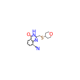 N#Cc1cccc2c(=O)[nH]c(CSC3CCOCC3)nc12